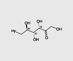 O=C(CO)[C@@H](O)[C@H](O)[C@H](O)C[18F]